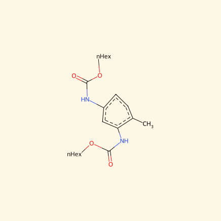 CCCCCCOC(=O)Nc1ccc(C)c(NC(=O)OCCCCCC)c1